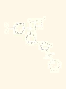 CC(C)c1ccc([C@](O)(c2cncc(-n3cnc(C(C)(C)N4CCOCC4)c3)c2)C2(C)CN(C)C2)cc1